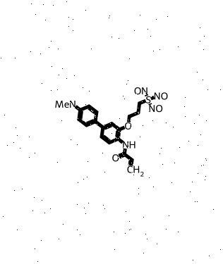 C=CC(=O)Nc1ccc(-c2ccc(NC)cc2)cc1OCCCS(N=O)(N=O)N=O